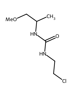 COCC(C)NC(=O)NCCCl